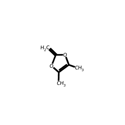 C=C1OC(C)=C(C)O1